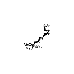 CO[Si](CCCSc1nnc(SC)s1)(OC)OC